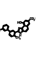 Cc1cccc(-c2ccc(C)c(-c3nc4c(ccc5cc(C(=O)O)cc(O)c54)[nH]3)c2)c1